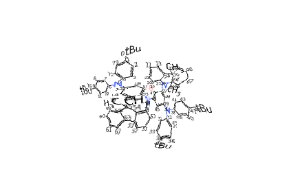 CC(C)(C)c1ccc(N(c2ccc(C(C)(C)C)cc2)c2ccc3c(c2)B2c4cccc5c4N(c4cc(N(c6ccc(C(C)(C)C)cc6)c6ccc(C(C)(C)C)cc6)cc(c42)N3c2cccc3c2C(C)(C)c2ccccc2-3)C2(C)CCCCC52C)cc1